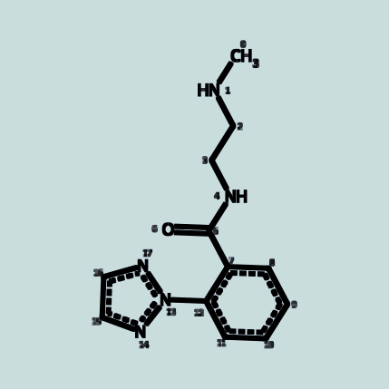 CNCCNC(=O)c1ccccc1-n1nccn1